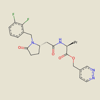 CC(C)[C@H](NC(=O)C[C@@H]1CCC(=O)N1Cc1cccc(F)c1F)C(=O)OCc1ccnnc1